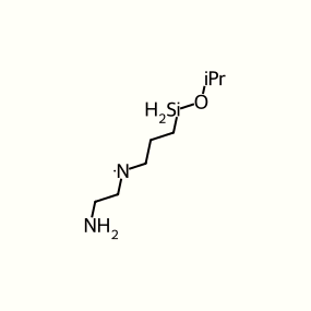 CC(C)O[SiH2]CCC[N]CCN